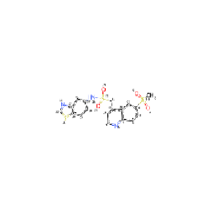 CS(=O)(=O)c1ccc2nccc(CS(=O)(=O)Nc3ccc4scnc4c3)c2c1